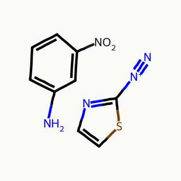 N#[N+]c1nccs1.Nc1cccc([N+](=O)[O-])c1